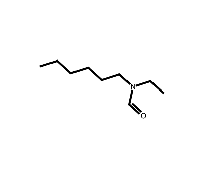 CCCCCCN(C=O)CC